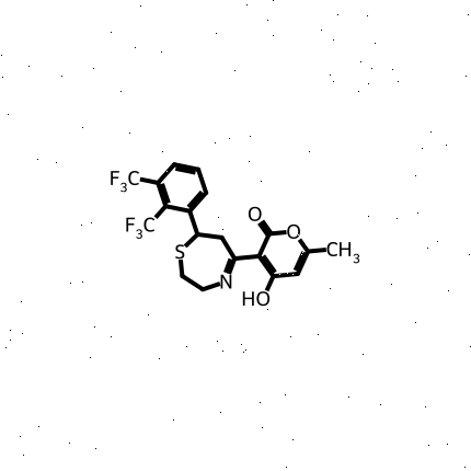 Cc1cc(O)c(C2=NCCSC(c3cccc(C(F)(F)F)c3C(F)(F)F)C2)c(=O)o1